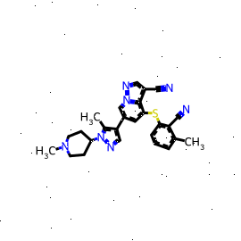 Cc1cccc(Sc2cc(-c3cnn(C4CCN(C)CC4)c3C)cn3ncc(C#N)c23)c1C#N